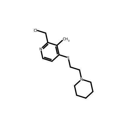 Cc1c(SCCN2CCCCC2)ccnc1CCl